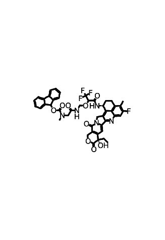 CC[C@@]1(O)C(=O)OCc2c1cc1n(c2=O)Cc2c-1nc1cc(F)c(C)c3c1c2[C@@H](NC(=O)C(OCNC(=O)CN(C)C(=O)OC1c2ccccc2-c2ccccc21)C(F)(F)F)CC3